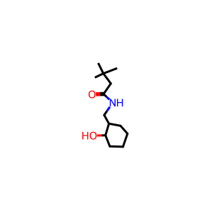 CC(C)(C)CC(=O)NCC1CCCCC1O